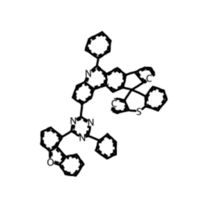 c1ccc(-c2nc(-c3ccc4nc(-c5ccccc5)c5cc6c(cc5c4c3)C3(c4ccccc4Sc4ccccc43)c3ccccc3-6)nc(-c3cccc4oc5ccccc5c34)n2)cc1